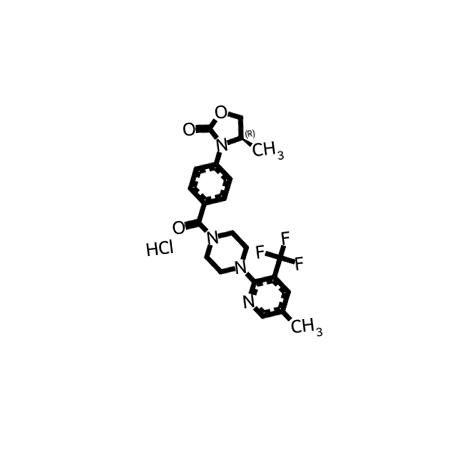 Cc1cnc(N2CCN(C(=O)c3ccc(N4C(=O)OC[C@H]4C)cc3)CC2)c(C(F)(F)F)c1.Cl